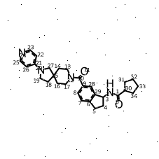 O=C(NC1CCc2ccc(C(=O)N3CCC4(CC3)CCN(c3ccncc3)C4)cc21)C1CCCC1